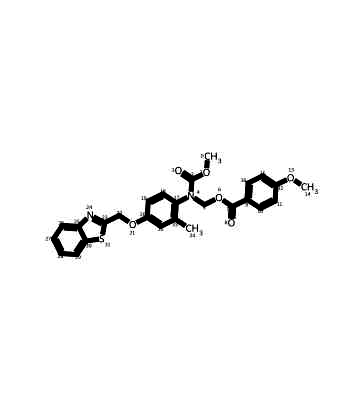 COC(=O)N(COC(=O)c1ccc(OC)cc1)c1ccc(OCc2nc3ccccc3s2)cc1C